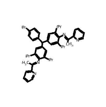 CC(=Nc1c(C(C)C)cc(C(c2ccc(C(C)C)cc2)c2cc(C(C)C)c(N=C(C)c3ccccn3)c(C(C)C)c2)cc1C(C)C)c1ccccn1